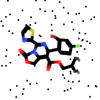 CC(C)COC(=O)C1=C2COC(=O)N2C(c2nccs2)=NC1c1ccc(F)cc1Br